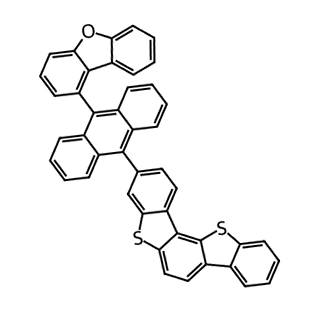 c1ccc2c(c1)oc1cccc(-c3c4ccccc4c(-c4ccc5c(c4)sc4ccc6c7ccccc7sc6c45)c4ccccc34)c12